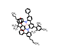 CCCCc1ccc(N2B3c4c(cc(-c5c(C)cc(C)cc5C)cc4N(c4ccc(CCCC)cc4-c4ccccc4)c4ccc5c(c43)-c3ccccc3C5(C)C)-c3ccc(-c4ccccc4)cc32)cc1